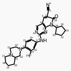 N#Cc1cc2cnc(Nc3ccc(N4CCN5CCCCC5C4)c(F)c3)nc2n(C2CCCC2)c1=O